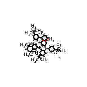 Cc1cc2c3c(c1)N(c1ccc(C(C)(C)C)cc1-c1ccccc1F)c1cc4c(cc1B3c1cc(C(C)(C)C)ccc1N2c1ccc(C(C)(C)C)cc1)C(C)(C)CCC4(C)C